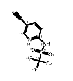 [C]#Cc1ccc(NS(=O)(=O)C(F)(F)F)nc1